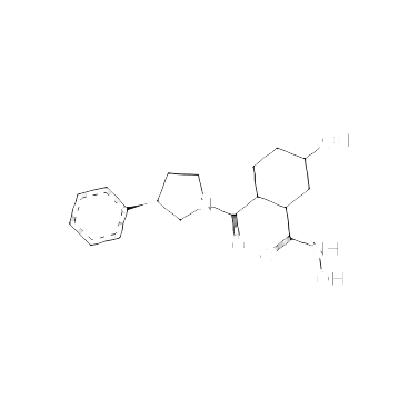 O=C(NO)C1CC(O)CCC1C(=O)N1CC[C@H](c2ccccc2)C1